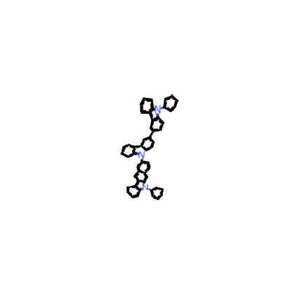 c1ccc(-n2c3ccccc3c3cc(-c4ccc5c(c4)c4ccccc4n5-c4ccc5cc6c(cc5c4)c4ccccc4n6-c4ccccc4)ccc32)cc1